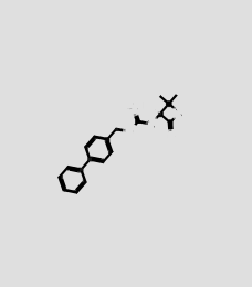 CC1(C)NC(=O)[C@@]1(C=O)NC(=O)OCc1ccc(-c2ccccc2)cc1